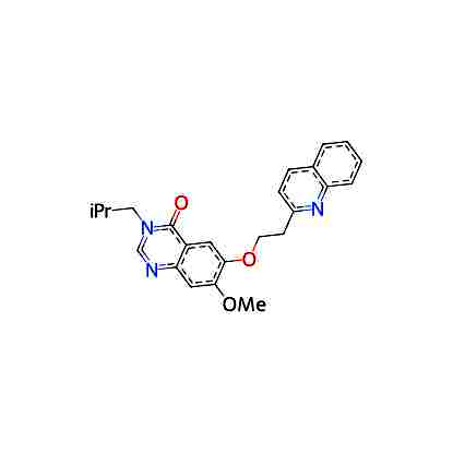 COc1cc2ncn(CC(C)C)c(=O)c2cc1OCCc1ccc2ccccc2n1